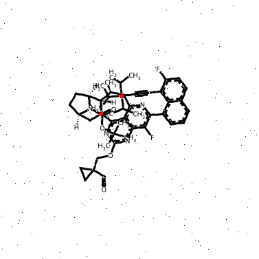 CC(C)[Si](C#Cc1c(F)ccc2cccc(-c3nc4c5c(nc(OCC6(C=O)CC6)nc5c3F)N3C[C@H]5CC[C@@H]([C@@H]3[C@@H](C)C4)N5C(=O)OC(C)(C)C)c12)(C(C)C)C(C)C